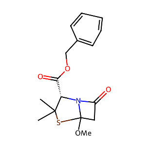 COC12CC(=O)N1[C@@H](C(=O)OCc1ccccc1)C(C)(C)S2